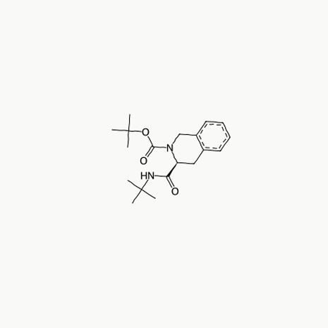 CC(C)(C)NC(=O)[C@@H]1Cc2ccccc2CN1C(=O)OC(C)(C)C